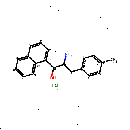 Cl.NC(Cc1ccc(C(F)(F)F)cc1)C(O)c1cccc2ccccc12